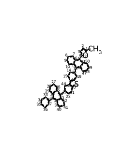 Cc1ccc(-c2c3ccccc3c(-c3ccc4c(c3)sc3ccc(-c5c6ccccc6c(-c6ccccc6)c6ccccc56)cc34)c3ccccc23)o1